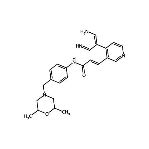 CC1CN(Cc2ccc(NC(=O)/C=C/c3cnccc3/C(C=N)=C/N)cc2)CC(C)O1